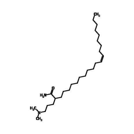 CCCCCCCC/C=C\CCCCCCCCCCC(CCCN(C)C)C(N)=O